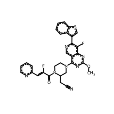 COc1nc(N2CCN(C(=O)/C(F)=C/c3ccccn3)C(CC#N)C2)c2cnc(-c3csc4ccccc34)c(F)c2n1